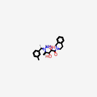 C=C(C(O)C(O)C(=O)N1CCc2ccccc2C1)N(N)[C@@H](C)c1cccc(C)c1